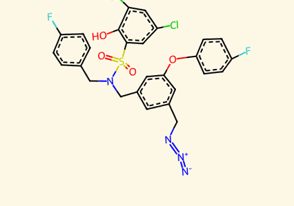 [N-]=[N+]=NCc1cc(CN(Cc2ccc(F)cc2)S(=O)(=O)c2cc(Cl)cc(Cl)c2O)cc(Oc2ccc(F)cc2)c1